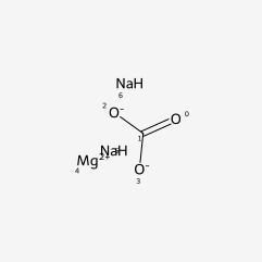 O=C([O-])[O-].[Mg+2].[NaH].[NaH]